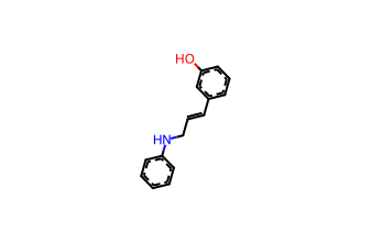 Oc1cccc(C=CCNc2ccccc2)c1